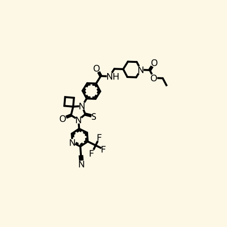 CCOC(=O)N1CCC(CNC(=O)c2ccc(N3C(=S)N(c4cnc(C#N)c(C(F)(F)F)c4)C(=O)C34CCC4)cc2)CC1